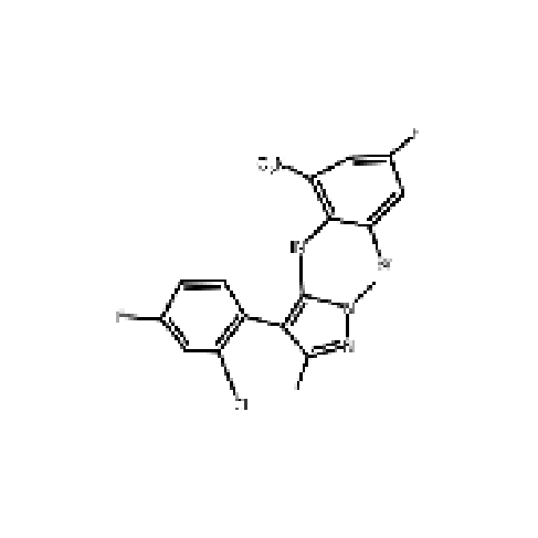 Cc1nn(C)c(Nc2c(Br)cc(F)cc2[N+](=O)[O-])c1-c1ccc(F)cc1Cl